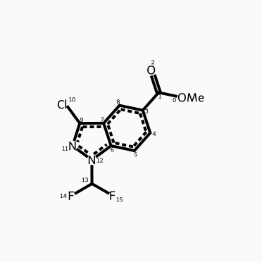 COC(=O)c1ccc2c(c1)c(Cl)nn2C(F)F